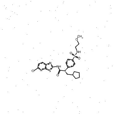 COCCNS(=O)(=O)c1ccc([C@@H](CC2CCCC2)C(=O)Nc2nc3ccc(Cl)nc3s2)cc1